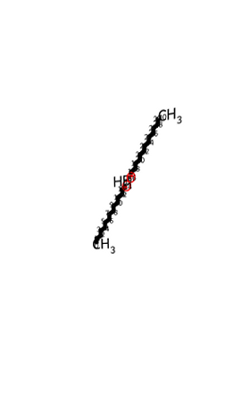 CCCCCCCCCCCCCCOBOCCCCCCCCCCCCCC